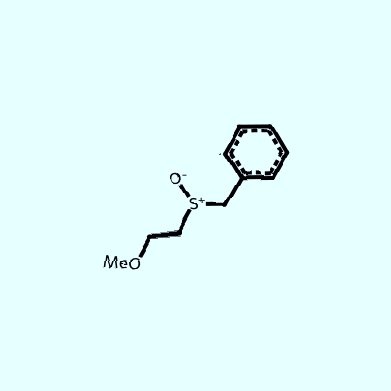 COCC[S+]([O-])Cc1[c]cccc1